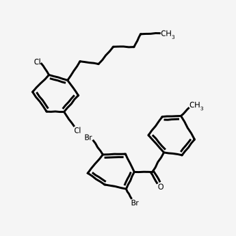 CCCCCCc1cc(Cl)ccc1Cl.Cc1ccc(C(=O)c2cc(Br)ccc2Br)cc1